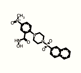 C[N+](=O)c1ccc(N2CCN(S(=O)(=O)c3ccc4ccccc4c3)CC2)c(C(=O)NO)c1